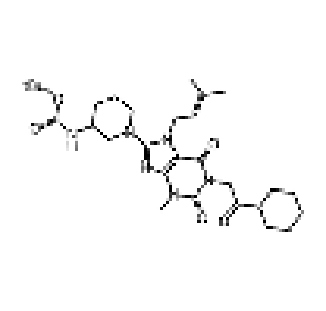 CC(C)=CCn1c(N2CCCC(NC(=O)OC(C)(C)C)C2)nc2c1c(=O)n(CC(=O)C1CCCCC1)c(=O)n2C